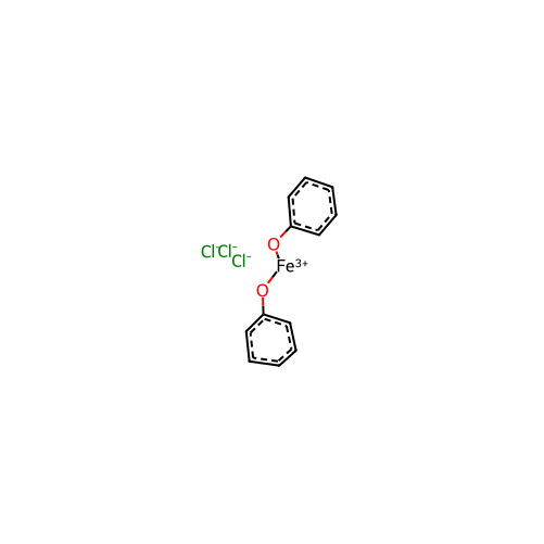 [Cl-].[Cl-].[Cl-].c1ccc([O][Fe+3][O]c2ccccc2)cc1